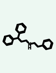 c1ccc(CCNCCC(c2ccccc2)c2ccccc2)cc1